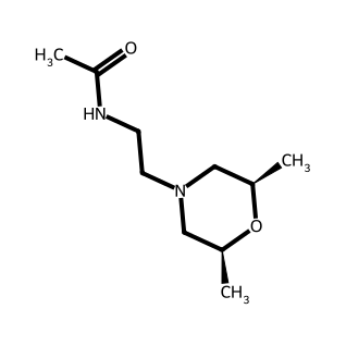 CC(=O)NCCN1C[C@@H](C)O[C@@H](C)C1